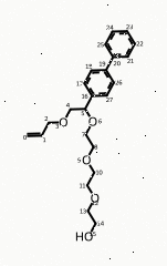 C=CCOCC(OCCOCCOCCO)c1ccc(-c2ccccc2)cc1